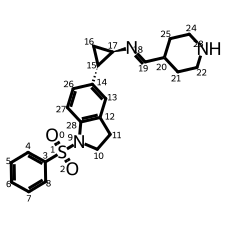 O=S(=O)(c1ccccc1)N1CCc2cc([C@@H]3C[C@H]3N=CC3CCNCC3)ccc21